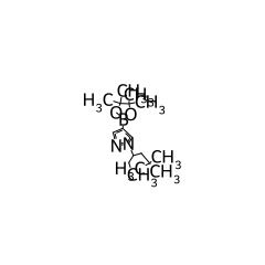 CCC(CC(C)(C)C)n1cc(B2OC(C)(C)C(C)(C)O2)cn1